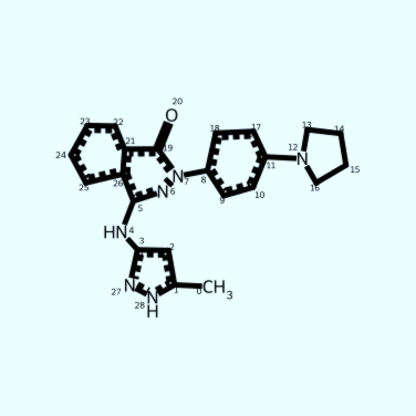 Cc1cc(Nc2nn(-c3ccc(N4CCCC4)cc3)c(=O)c3ccccc23)n[nH]1